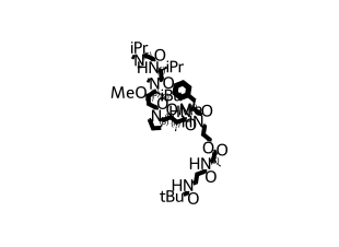 CC[C@H](C)[C@@H]([C@@H](CC(=O)N1CCC[C@H]1[C@H](OC)[C@@H](C)C(=O)N[C@@H](Cc1ccccc1)C(=O)NCCCOC(=O)[C@H](C)NC(=O)CCNC(=O)C(C)(C)C)OC)N(C)C(=O)[C@@H](NC(=O)[C@H](C(C)C)N(C)C)C(C)C